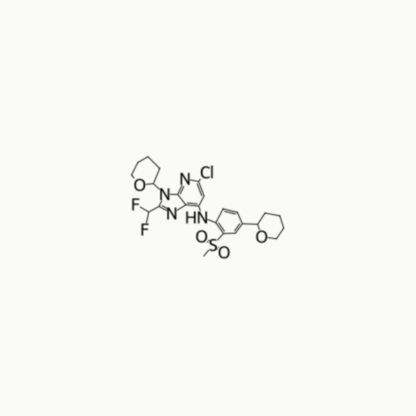 CS(=O)(=O)c1cc(C2CCCCO2)ccc1Nc1cc(Cl)nc2c1nc(C(F)F)n2C1CCCCO1